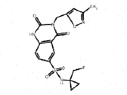 Cc1cc(Cn2c(=O)[nH]c3ccc(S(=O)(=O)NC4(CF)CC4)cc3c2=O)on1